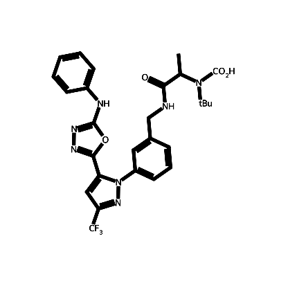 CC(C(=O)NCc1cccc(-n2nc(C(F)(F)F)cc2-c2nnc(Nc3ccccc3)o2)c1)N(C(=O)O)C(C)(C)C